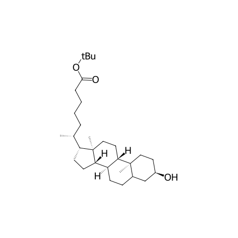 C[C@H](CCCCC(=O)OC(C)(C)C)[C@H]1CC[C@H]2[C@@H]3CCC4C[C@H](O)CC[C@]4(C)[C@H]3CC[C@]12C